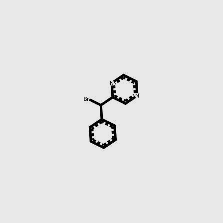 BrC(c1ccccc1)c1cnccn1